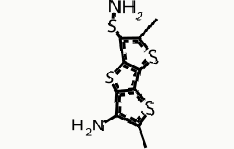 Cc1sc2c(sc3c(SN)c(C)sc32)c1N